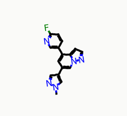 Cn1cc(-c2cc(-c3ccc(F)nc3)c3ccnn3c2)cn1